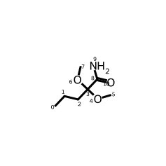 CCCC(OC)(OC)C(N)=O